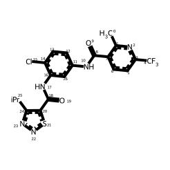 Cc1nc(C(F)(F)F)ccc1C(=O)Nc1ccc(Cl)c(NC(=O)c2snnc2C(C)C)c1